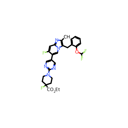 CCOC(=O)C1(F)CCN(c2ncc(-c3cn4c(Cc5ccccc5OC(F)F)c(C)nc4cc3F)cn2)CC1